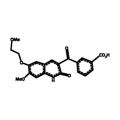 COCCOc1cc2cc(C(=O)c3cccc(C(=O)O)c3)c(=O)[nH]c2cc1OC